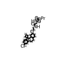 CCCS(=O)(=O)NCC(=O)NCCOc1ccc2c(c1)C(C1(c3ccc(Cl)cc3)CCC1)NCC2